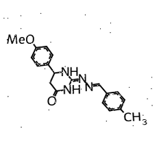 COc1ccc(C2CC(=O)NC(=NN=Cc3ccc(C)cc3)N2)cc1